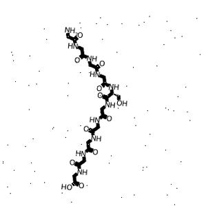 NCC(=O)NCC(=O)NCC(=O)NCC(=O)N[C@@H](CO)C(=O)NCC(=O)NCC(=O)NCC(=O)NCC(=O)NCC(=O)O